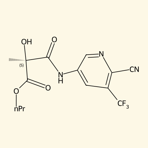 CCCOC(=O)[C@@](C)(O)C(=O)Nc1cnc(C#N)c(C(F)(F)F)c1